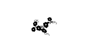 Cc1ccc(N(c2ccccc2)c2ccc(-c3cc(C)ccc3Nc3ccc(C=NN(C)c4ccccc4)cc3)cc2)cc1